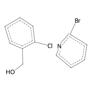 Brc1ccccn1.OCc1ccccc1Cl